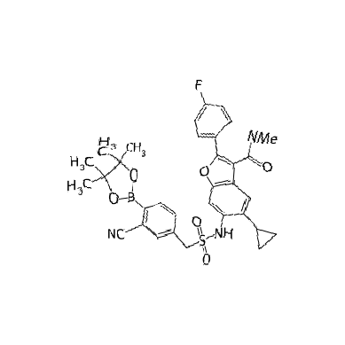 CNC(=O)c1c(-c2ccc(F)cc2)oc2cc(NS(=O)(=O)Cc3ccc(B4OC(C)(C)C(C)(C)O4)c(C#N)c3)c(C3CC3)cc12